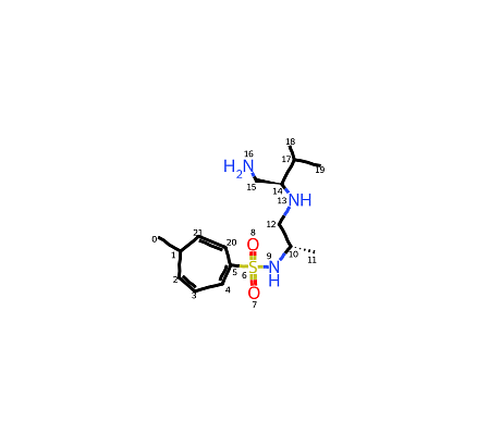 CC1C=CC=C(S(=O)(=O)N[C@@H](C)CN[C@@H](CN)C(C)C)C=C1